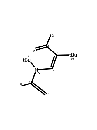 C=C(C)/C(=C\N(C(=C)C)C(C)(C)C)C(C)(C)C